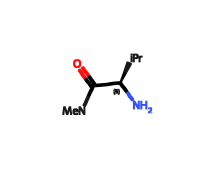 CNC(=O)[C@H](N)C(C)C